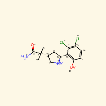 CC(C)(C(N)=O)[C@H]1CN[C@@H](c2c(O)ccc(Cl)c2Cl)C1